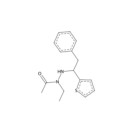 CCN(NC(Cc1ccccc1)c1cccs1)C(C)=O